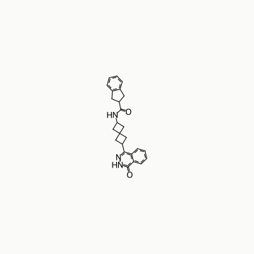 O=C(NC1CC2(C1)CC(c1n[nH]c(=O)c3ccccc13)C2)C1Cc2ccccc2C1